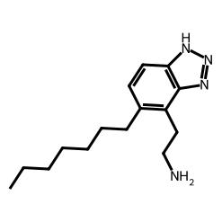 CCCCCCCc1ccc2[nH]nnc2c1CCN